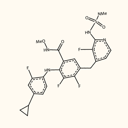 CNS(=O)(=O)Nc1nccc(Cc2cc(C(=O)NOC)c(Nc3ccc(C4CC4)cc3F)c(F)c2F)c1F